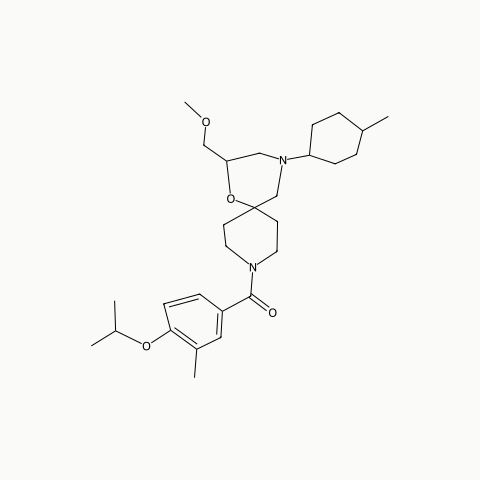 COCC1CN(C2CCC(C)CC2)CC2(CCN(C(=O)c3ccc(OC(C)C)c(C)c3)CC2)O1